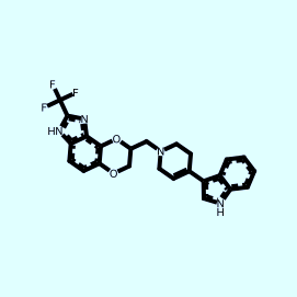 FC(F)(F)c1nc2c3c(ccc2[nH]1)OCC(CN1CC=C(c2c[nH]c4ccccc24)CC1)O3